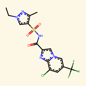 CCn1cc(S(=O)(=O)NC(=O)c2cn3cc(C(F)(F)F)cc(Cl)c3n2)c(C)n1